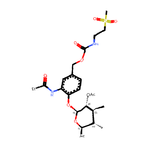 CCC(=O)Nc1cc(COC(=O)NCCS(C)(=O)=O)ccc1O[C@@H]1O[C@H](C(C)=O)[C@@H](C)[C@H](C)[C@H]1OC(C)=O